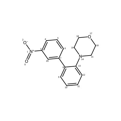 O=[N+]([O-])c1cc[c]c(-c2ccccc2N2CCOCC2)c1